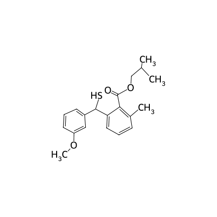 COc1cccc(C(S)c2cccc(C)c2C(=O)OCC(C)C)c1